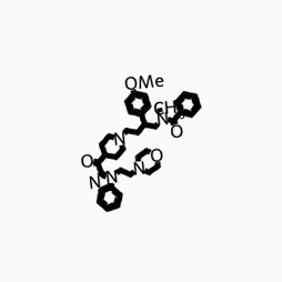 COc1ccc(C(CCN2CCC(C(=O)c3nc4ccccc4n3CCN3CCOCC3)CC2)CN(C)C(=O)c2ccccc2)cc1